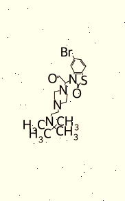 CN(CCN1CCN(C(C=O)n2c(=O)sc3ccc(Br)cc32)CC1)C(C)(C)C